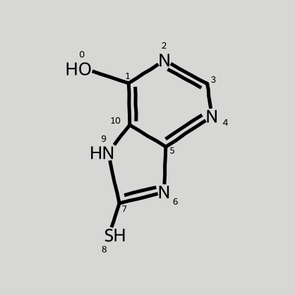 Oc1ncnc2nc(S)[nH]c12